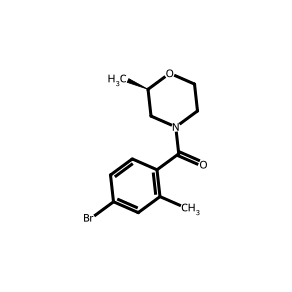 Cc1cc(Br)ccc1C(=O)N1CCO[C@H](C)C1